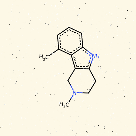 Cc1cccc2[nH]c3c(c12)CN(C)CC3